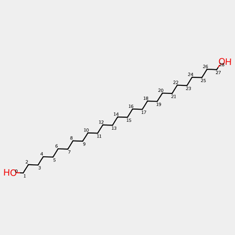 OCCCCCCCCCCCCCCCCCCCCCCCCCCCO